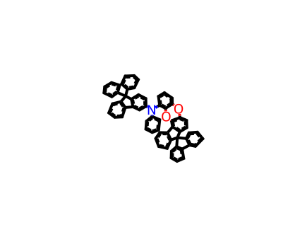 c1ccc(N(c2ccc3c(c2)-c2ccccc2C3(c2ccccc2)c2ccccc2)c2cccc3c2Oc2c(ccc4c2-c2ccccc2C42c4ccccc4-c4ccccc42)O3)cc1